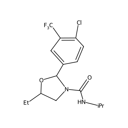 CCC1CN(C(=O)NC(C)C)C(c2ccc(Cl)c(C(F)(F)F)c2)O1